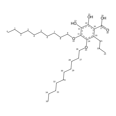 CCCCCCCCCCOc1c(O)c(O)c(C(=O)O)c(CCC)c1OCCCCCCCCCC